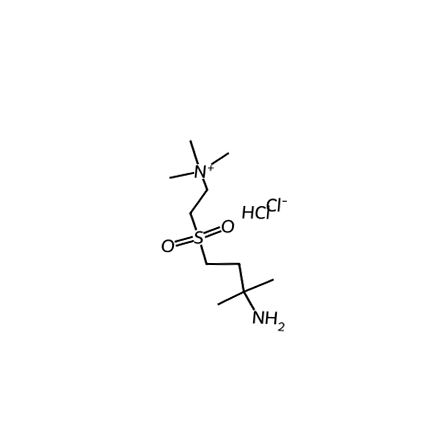 CC(C)(N)CCS(=O)(=O)CC[N+](C)(C)C.Cl.[Cl-]